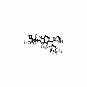 CCC(C(c1ccc2nc(NC(=O)C3(C(=O)O)CCC3)sc2c1)c1ncc[nH]1)N(C)C